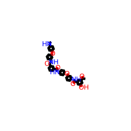 CNc1ccc(Oc2cccc(NC(=O)c3cccc(C(=O)Nc4ccc(Oc5cccc(NC(=O)c6cc(O)cc(C(C)=O)c6)c5)cc4)c3)c2)cc1